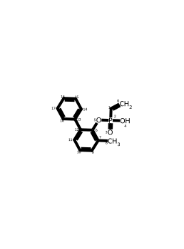 C=CP(=O)(O)Oc1c(C)cccc1-c1ccccc1